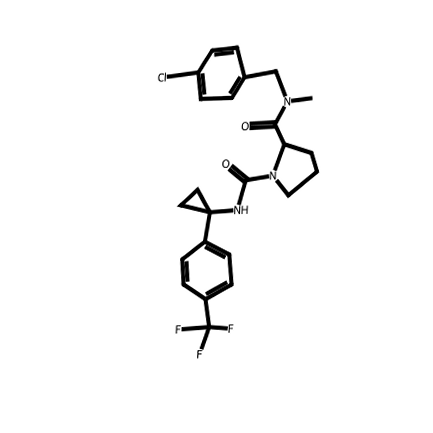 CN(Cc1ccc(Cl)cc1)C(=O)C1CCCN1C(=O)NC1(c2ccc(C(F)(F)F)cc2)CC1